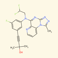 Cc1nnc2nc(N(CC(F)F)c3cc(F)cc(C#CC(C)(C)O)c3)c3ncccc3n12